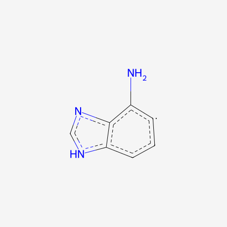 Nc1[c]ccc2[nH]cnc12